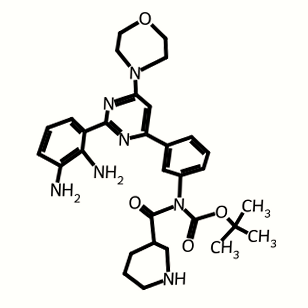 CC(C)(C)OC(=O)N(C(=O)C1CCCNC1)c1cccc(-c2cc(N3CCOCC3)nc(-c3cccc(N)c3N)n2)c1